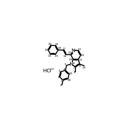 Cc1ccc(Cn2c(C)c(C)c3ccnc(C=Cc4ccccc4)c32)cc1.Cl